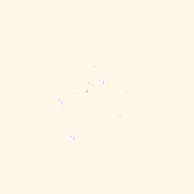 CCN(Cc1ccncc1)C(=O)OC[C@H]1CCC(c2ccccc2)N1S(=O)(=O)c1ccc(Cl)cc1